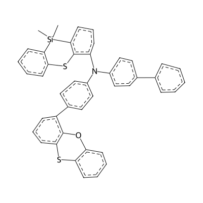 C[Si]1(C)c2ccccc2Sc2c(N(c3ccc(-c4ccccc4)cc3)c3ccc(-c4cccc5c4Oc4ccccc4S5)cc3)cccc21